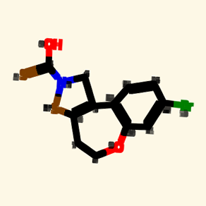 OC(=S)N1CC2=C(CCOc3cc(Br)ccc32)S1